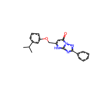 CC(C)c1cccc(OCc2cc(=O)n3nc(-c4ccccc4)nc3[nH]2)c1